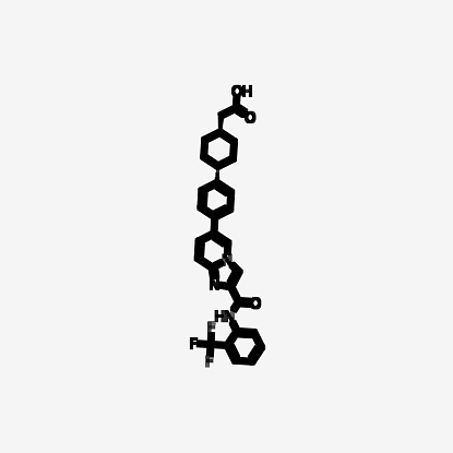 O=C(O)C[C@H]1CC[C@H](c2ccc(-c3ccc4nc(C(=O)Nc5ccccc5C(F)(F)F)cn4c3)cc2)CC1